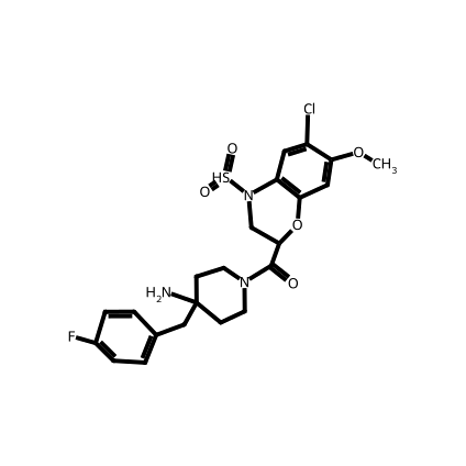 COc1cc2c(cc1Cl)N([SH](=O)=O)CC(C(=O)N1CCC(N)(Cc3ccc(F)cc3)CC1)O2